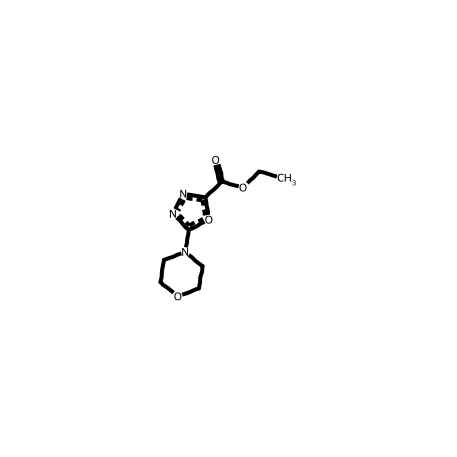 CCOC(=O)c1nnc(N2CCOCC2)o1